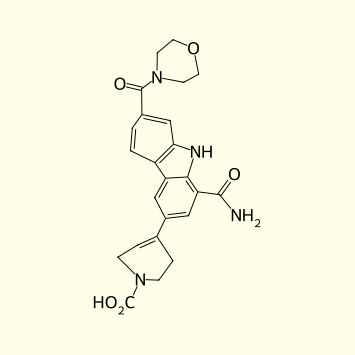 NC(=O)c1cc(C2=CCN(C(=O)O)CC2)cc2c1[nH]c1cc(C(=O)N3CCOCC3)ccc12